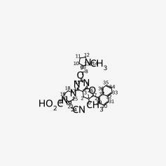 CC1Cc2c(nc(OC[C@@H]3CCCN3C)nc2N2CCN(C(=O)O)[C@@H](CC#N)C2)OC1c1cccc2ccccc12